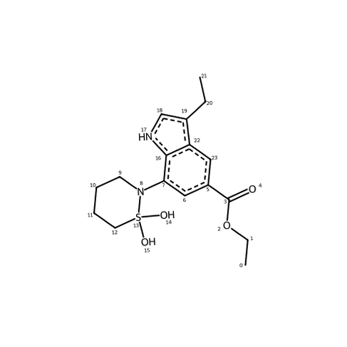 CCOC(=O)c1cc(N2CCCCS2(O)O)c2[nH]cc(CC)c2c1